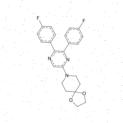 Fc1ccc(-c2ncc(N3CCC4(CC3)OCCO4)nc2-c2ccc(F)cc2)cc1